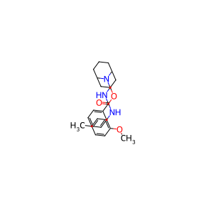 COc1ccc(C)cc1NC(=O)OC1CC2CCCC(C1)N2CNCc1ccccc1